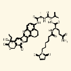 CC[C@@]1(O)C(=O)OCc2c1cc1n(c2=O)Cc2c-1nc1ccc(NC(=O)[C@H](C)NC(=O)[C@@H](NC(=O)C(CCC(N)=O)NC(=O)CCCCCN3C(=O)C=CC3=O)C(C)C)c3c1c2CCC3